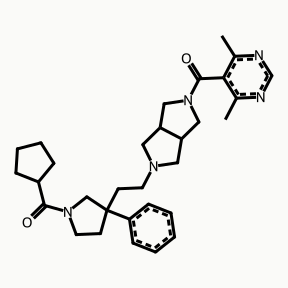 Cc1ncnc(C)c1C(=O)N1CC2CN(CCC3(c4ccccc4)CCN(C(=O)C4CCCC4)C3)CC2C1